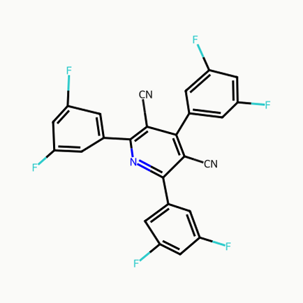 N#Cc1c(-c2cc(F)cc(F)c2)nc(-c2cc(F)cc(F)c2)c(C#N)c1-c1cc(F)cc(F)c1